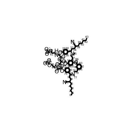 CCCCCCC(C#N)CCC(c1cccc(OC(OC(=O)C(=O)OC(Oc2cccc(C(CCC(C#N)CCCCCC)N(C)CCc3cccc(OC)c3)c2)C(=O)NCCO[N+](=O)[O-])C(=O)NCCO[N+](=O)[O-])c1)N(C)CCc1cccc(OC)c1